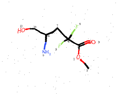 COC(=O)C(F)(F)CC(N)CO